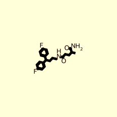 CC(CCC(=O)NCCCC(c1ccc(F)cc1)c1ccc(F)cc1)C(N)=O